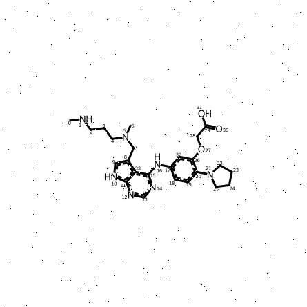 CNCCCN(C)Cc1c[nH]c2ncnc(Nc3ccc(N4CCCC4)c(OCC(=O)O)c3)c12